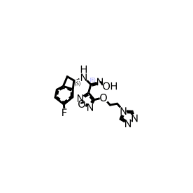 O/N=C(/N[C@H]1Cc2ccc(F)cc21)c1nonc1OCCn1cnnc1